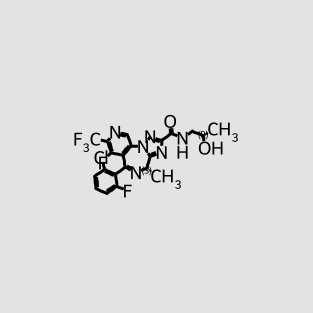 C[C@@H]1N=C(c2c(F)cccc2F)c2c(cnc(C(F)(F)F)c2Cl)-n2nc(C(=O)NC[C@@H](C)O)nc21